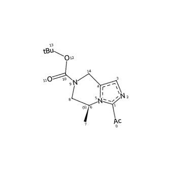 CC(=O)c1ncc2n1[C@@H](C)CN(C(=O)OC(C)(C)C)C2